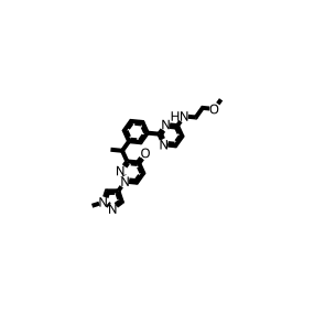 COCCNc1ccnc(-c2cccc(C(C)c3nn(-c4cnn(C)c4)ccc3=O)c2)n1